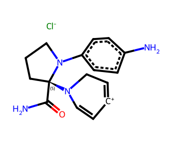 NC(=O)[C@]1(N2C=C[C+]=CC2)CCCN1c1ccc(N)cc1.[Cl-]